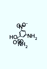 Nc1cc(C(O)S(N)(=O)=O)cc([N+](=O)[O-])c1